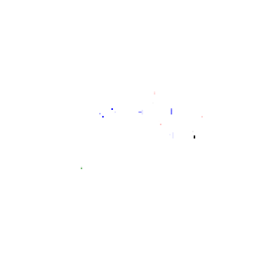 CC(Cn1ccc(-c2cc(F)c(C#N)c(Cl)c2)n1)NC(=O)c1nc([C@H](C)O)no1